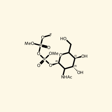 COP(=O)(OF)OP(=O)(OC)O[C@H]1OC(CO)[C@@H](O)[C@H](O)C1NC(C)=O